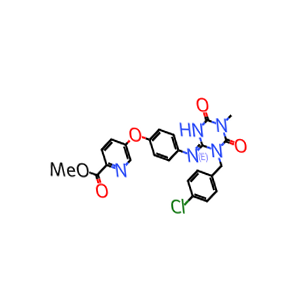 COC(=O)c1ccc(Oc2ccc(/N=c3\[nH]c(=O)n(C)c(=O)n3Cc3ccc(Cl)cc3)cc2)cn1